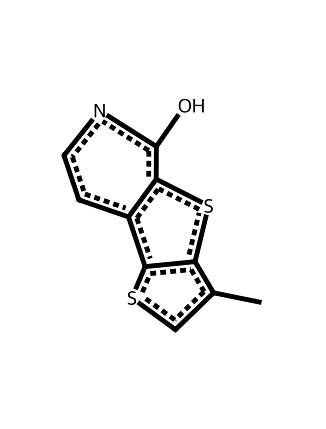 Cc1csc2c1sc1c(O)nccc12